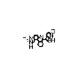 N=Cc1c(N)ccc2nc(C3=CBc4nc(Cl)ccc43)c3c(c12)CCCC3